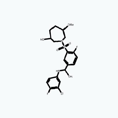 COC1CCC(O)CN(S(=O)(=O)c2cc(C(O)Nc3ccc(F)c(Cl)c3)ccc2F)C1